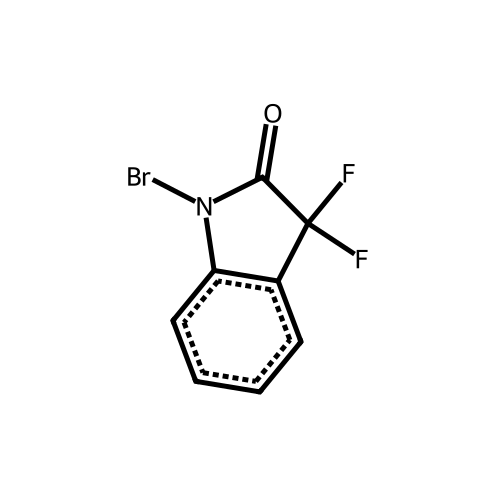 O=C1N(Br)c2ccccc2C1(F)F